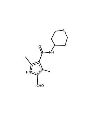 Cc1[nH]c(C=O)c(C)c1C(=O)NC1CCOCC1